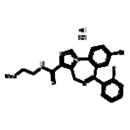 COCCNC(=O)c1ncn2c1CN=C(c1ccccc1F)c1cc(Br)ccc1-2.Cl.Cl